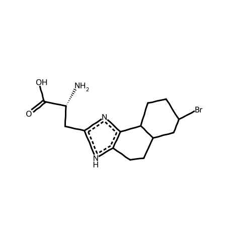 N[C@H](Cc1nc2c([nH]1)CCC1CC(Br)CCC21)C(=O)O